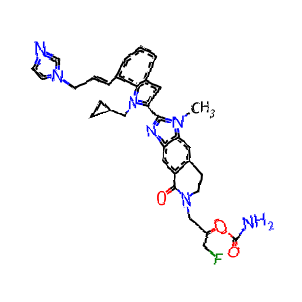 Cn1c(-c2cc3cccc(C=CCn4ccnc4)c3n2CC2CC2)nc2cc3c(cc21)CCN(CC(CF)OC(N)=O)C3=O